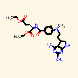 CCOC(=O)CC[C@H](NC(=O)c1ccc(N(C)CCC2CNc3nc(N)nc(N)c32)cc1)C(=O)OCC